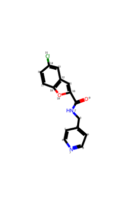 O=C(NCc1ccncc1)c1cc2cc(Cl)ccc2o1